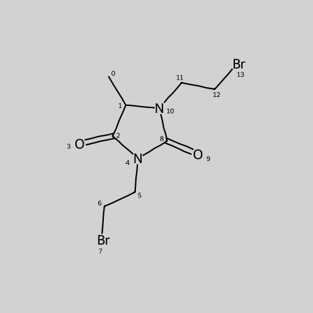 CC1C(=O)N(CCBr)C(=O)N1CCBr